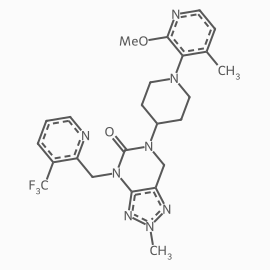 COc1nccc(C)c1N1CCC(N2Cc3nn(C)nc3N(Cc3ncccc3C(F)(F)F)C2=O)CC1